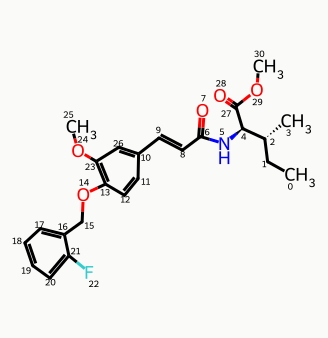 CC[C@@H](C)[C@@H](NC(=O)/C=C/c1ccc(OCc2ccccc2F)c(OC)c1)C(=O)OC